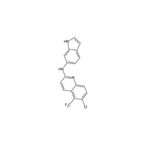 FC(F)(F)c1c(Cl)ccc2nc(Nc3ccc4cc[nH]c4c3)ccc12